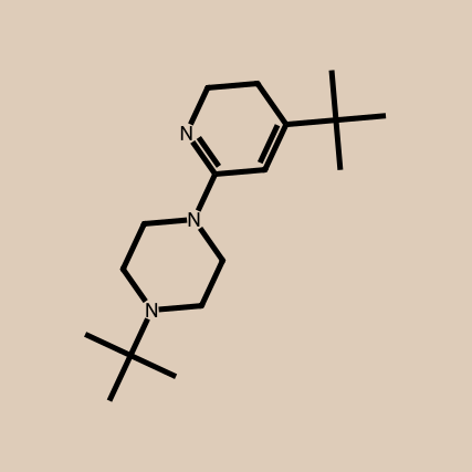 CC(C)(C)C1=CC(N2CCN(C(C)(C)C)CC2)=NCC1